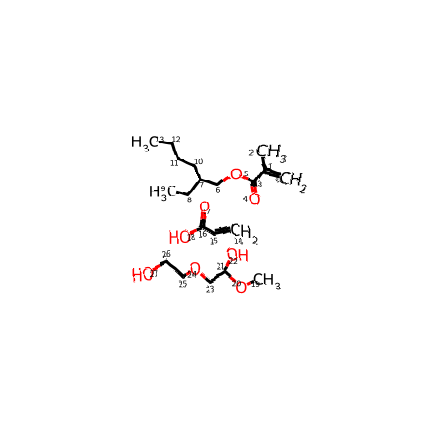 C=C(C)C(=O)OCC(CC)CCCC.C=CC(=O)O.COC(O)COCCO